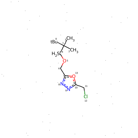 CC(C)(C)C(C)(C)[SiH2]OCc1nnc(CCl)o1